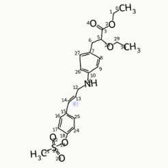 CCOC(=O)C(Cc1ccc(NC/C=C/c2ccc(OS(C)(=O)=O)cc2)cc1)OCC